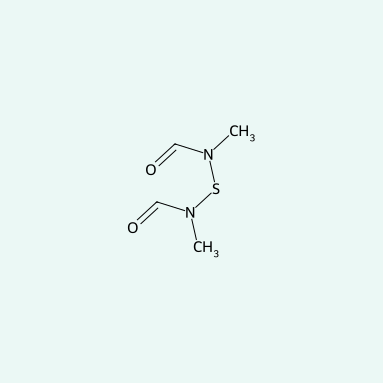 CN(C=O)SN(C)C=O